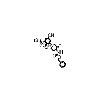 CC(C)(C)N(C(=O)O)c1cc(C#N)cc(N2CC[C@H](NC(=O)OCc3ccccc3)[C@H](F)C2)c1Cl